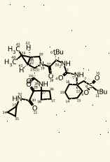 CC(C)(C)[C@H](NC(=O)NC1(CS(=O)(=O)C(C)(C)C)CCCCC1)C(=O)N1C[C@H]2[C@@H]([C@H]1C(=O)NC1(C(=O)C(=O)NC3CC3)CCC1)C2(C)C